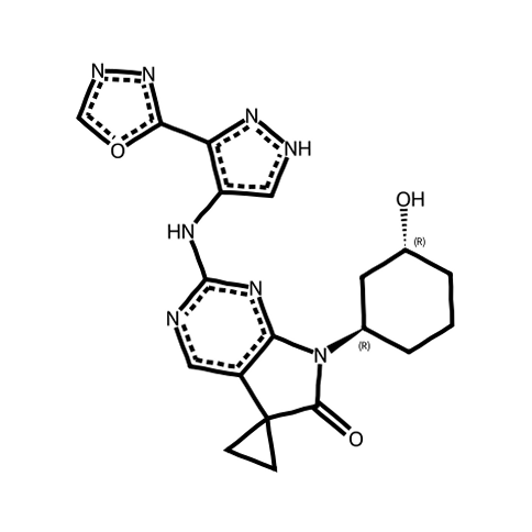 O=C1N([C@@H]2CCC[C@@H](O)C2)c2nc(Nc3c[nH]nc3-c3nnco3)ncc2C12CC2